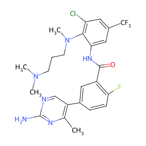 Cc1nc(N)ncc1-c1ccc(F)c(C(=O)Nc2cc(C(F)(F)F)cc(Cl)c2N(C)CCCN(C)C)c1